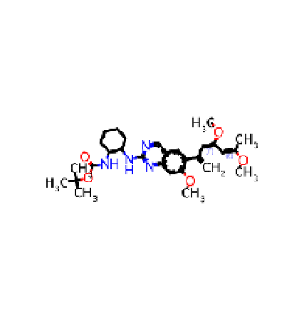 C=C(/C=C(\C=C(/C)OC)OC)c1cc2cnc(NC3CCCCC3NC(=O)OC(C)(C)C)nc2cc1OC